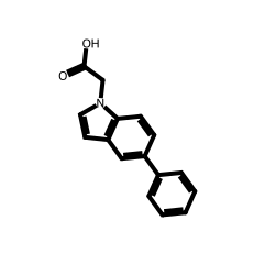 O=C(O)Cn1ccc2cc(-c3ccccc3)ccc21